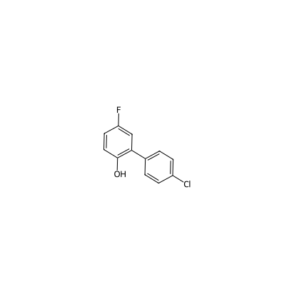 Oc1ccc(F)cc1-c1ccc(Cl)cc1